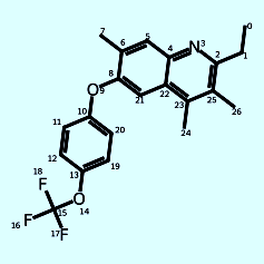 CCc1nc2cc(C)c(Oc3ccc(OC(F)(F)F)cc3)cc2c(C)c1C